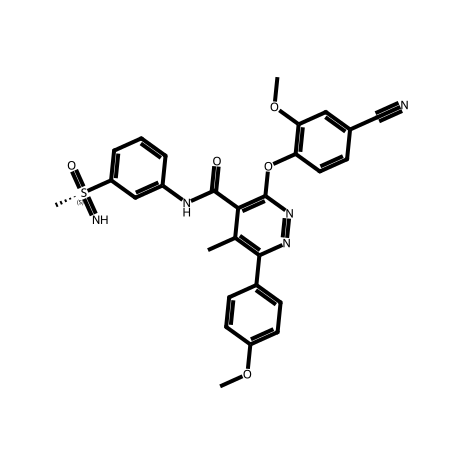 COc1ccc(-c2nnc(Oc3ccc(C#N)cc3OC)c(C(=O)Nc3cccc([S@@](C)(=N)=O)c3)c2C)cc1